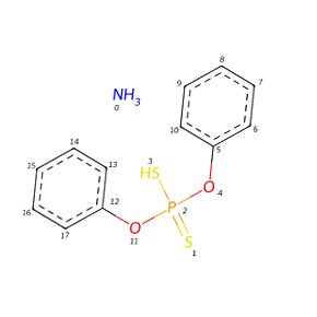 N.S=P(S)(Oc1ccccc1)Oc1ccccc1